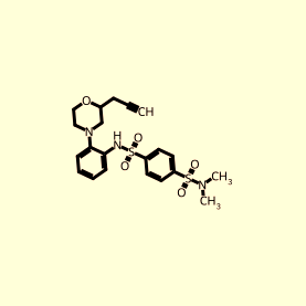 C#CCC1CN(c2ccccc2NS(=O)(=O)c2ccc(S(=O)(=O)N(C)C)cc2)CCO1